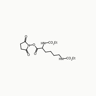 CCOC(=O)NCCCCC(NC(=O)OCC)C(=O)ON1C(=O)CCC1=O